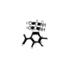 C=C(C)c1ccc(C)c(C)c1C.N=C=O.N=C=O